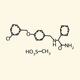 CS(=O)(=O)O.NC(=O)C(NCc1ccc(OCc2cccc(Cl)c2)cc1)c1ccccc1